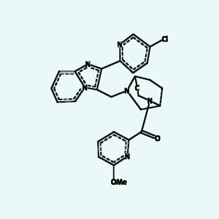 COc1cccc(C(=O)N2CCC3CCC2CN3Cc2c(-c3ccc(Cl)cn3)nc3ccccn23)n1